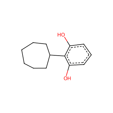 Oc1cccc(O)c1C1CCCCCC1